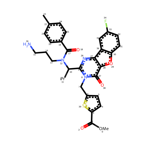 COC(=O)c1ccc(Cn2c(C(C(C)C)N(CCCN)C(=O)c3ccc(C)cc3)nc3c(oc4ccc(F)cc43)c2=O)s1